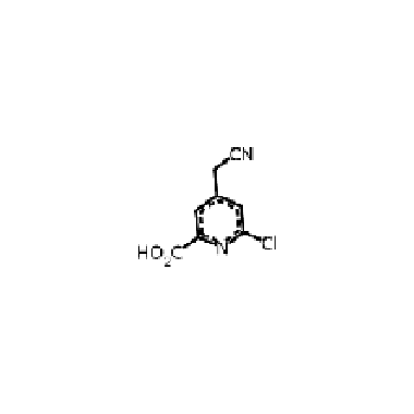 N#CCc1cc(Cl)nc(C(=O)O)c1